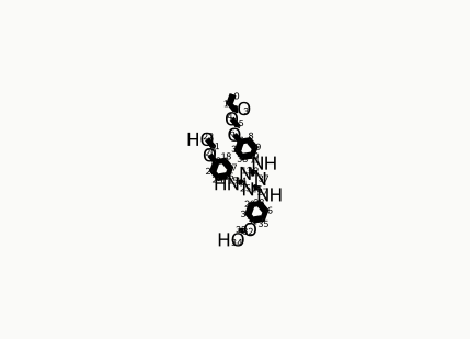 C=CC(=O)OCOc1ccc(Nc2nc(Nc3ccc(OCO)cc3)nc(Nc3ccc(OCO)cc3)n2)cc1